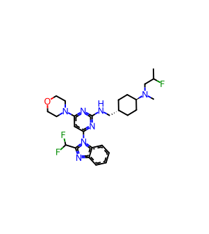 CC(F)CN(C)[C@H]1CC[C@H](CNc2nc(N3CCOCC3)cc(-n3c(C(F)F)nc4ccccc43)n2)CC1